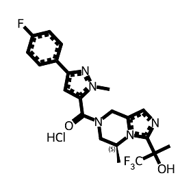 C[C@H]1CN(C(=O)c2cc(-c3ccc(F)cc3)nn2C)Cc2cnc(C(C)(O)C(F)(F)F)n21.Cl